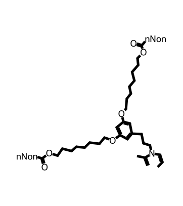 C=C(C)N(/C=C\C)CCCc1cc(OCCCCCCCCOC(=O)CCCCCCCCC)cc(OCCCCCCCCOC(=O)CCCCCCCCC)c1